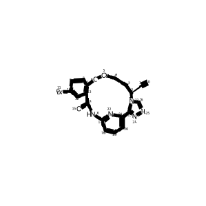 C#C[C@@H]1CCOCc2ccc(Br)cc2C(=O)Nc2cccc(n2)-c2nncn21